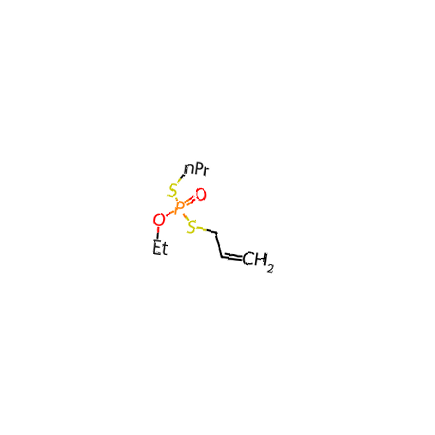 C=CCSP(=O)(OCC)SCCC